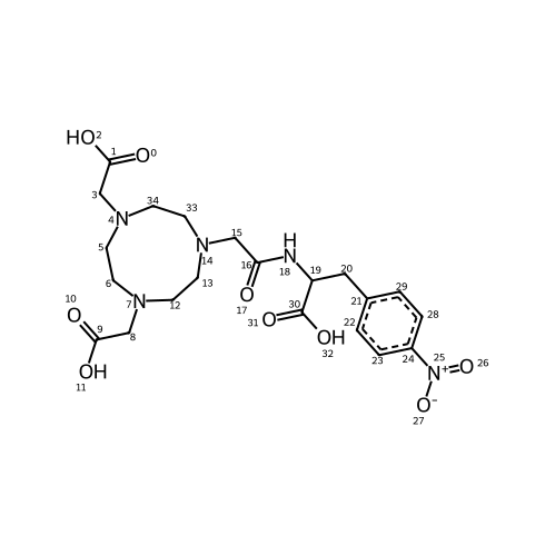 O=C(O)CN1CCN(CC(=O)O)CCN(CC(=O)NC(Cc2ccc([N+](=O)[O-])cc2)C(=O)O)CC1